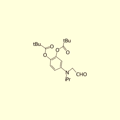 CC(C)N(CC=O)c1ccc(OC(=O)C(C)(C)C)c(OC(=O)C(C)(C)C)c1